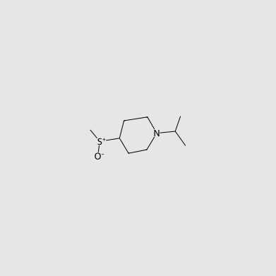 CC(C)N1CCC([S+](C)[O-])CC1